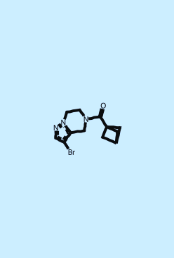 O=C(N1CCn2ncc(Br)c2C1)C12CC(C1)C2